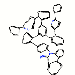 c1ccc(-c2ccc(-c3ccccc3-c3cc(-c4ccccc4-c4ccc(-c5ccccc5)nc4)cc(-c4ccccc4-c4ccc5c(c4)nc4c6ccccc6c6ccccc6n54)c3)cn2)cc1